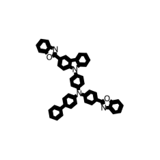 c1ccc(-c2ccc(N(c3ccc(-c4nc5ccccc5o4)cc3)c3ccc(-n4c5ccccc5c5cc(-c6nc7ccccc7o6)ccc54)cc3)cc2)cc1